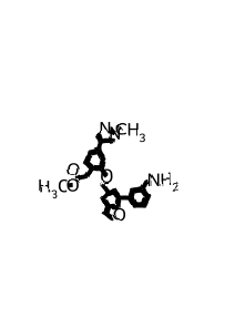 COC(=O)Cc1ccc(-c2cnn(C)c2)cc1OCc1cc(-c2cccc(CN)c2)c2occc2c1